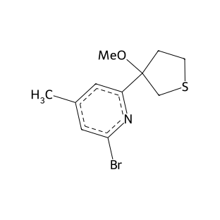 COC1(c2cc(C)cc(Br)n2)CCSC1